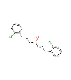 O=C(CCCc1ccccc1Cl)CCCc1ccccc1Cl